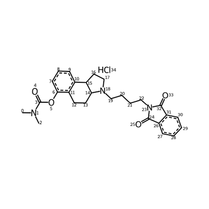 CN(C)C(=O)Oc1cccc2c1CCC1C2CCN1CCCCN1C(=O)c2ccccc2C1=O.Cl